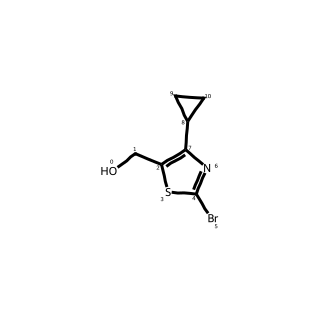 OCc1sc(Br)nc1C1CC1